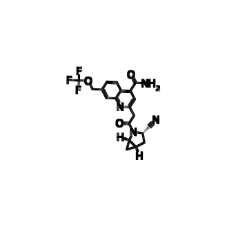 N#C[C@@H]1C[C@@H]2C[C@@H]2N1C(=O)Cc1cc(C(N)=O)c2ccc(COC(F)(F)F)cc2n1